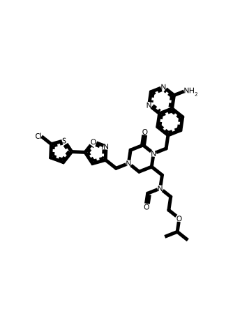 CC(C)OCCN(C=O)CC1CN(Cc2cc(-c3ccc(Cl)s3)on2)CC(=O)N1Cc1ccc2c(N)ncnc2c1